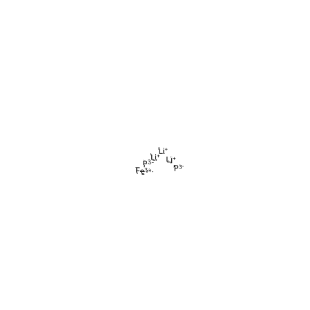 [Fe+3].[Li+].[Li+].[Li+].[P-3].[P-3]